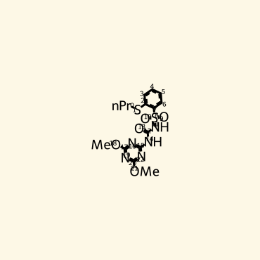 CCCSc1ccccc1S(=O)(=O)NC(=O)Nc1nc(OC)nc(OC)n1